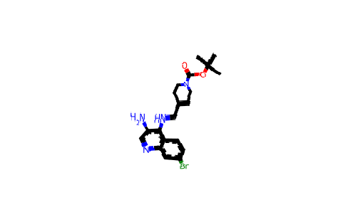 CC(C)(C)OC(=O)N1CCC(CNc2c(N)cnc3cc(Br)ccc23)CC1